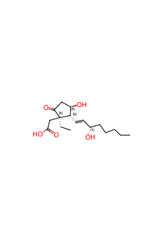 CCCCC[C@H](O)C=C[C@H]1[C@H](O)CC(=O)[C@]1(CC)CC(=O)O